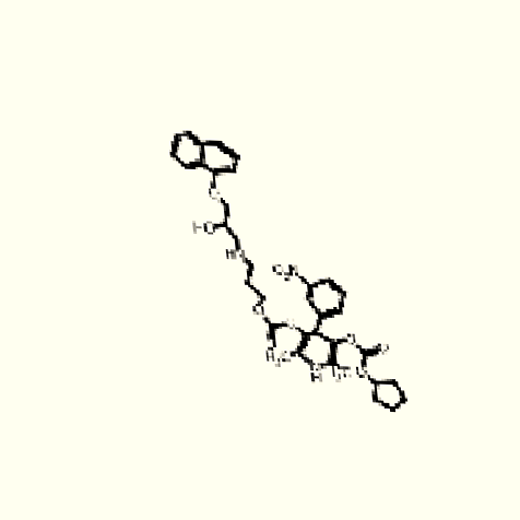 CC1=C(OC(=O)OCCCNCC(O)COc2cccc3ccccc23)C(c2cccc([N+](=O)[O-])c2)C(OC(=O)OC2CCCC2)=C(C)N1